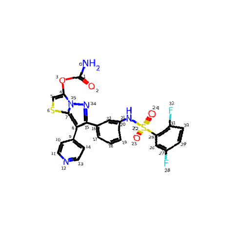 NC(=O)Oc1csc2c(-c3ccncc3)c(-c3cccc(NS(=O)(=O)c4cc(F)ccc4F)c3)nn12